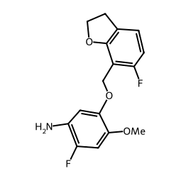 COc1cc(F)c(N)cc1OCc1c(F)ccc2c1OCC2